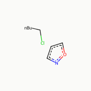 CCCCCCl.c1cnoc1